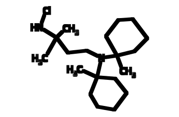 CC(C)(CCN(C1(C)CCCCC1)C1(C)CCCCC1)NCl